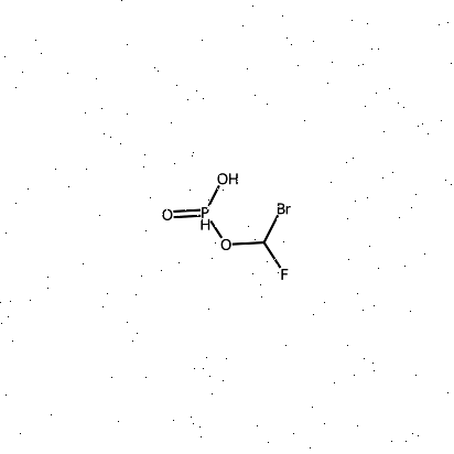 O=[PH](O)OC(F)Br